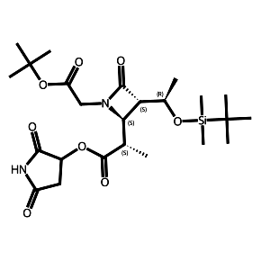 C[C@H](C(=O)OC1CC(=O)NC1=O)[C@@H]1[C@@H]([C@@H](C)O[Si](C)(C)C(C)(C)C)C(=O)N1CC(=O)OC(C)(C)C